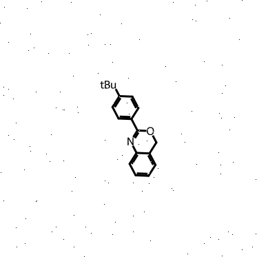 CC(C)(C)c1ccc(C2=Nc3ccccc3CO2)cc1